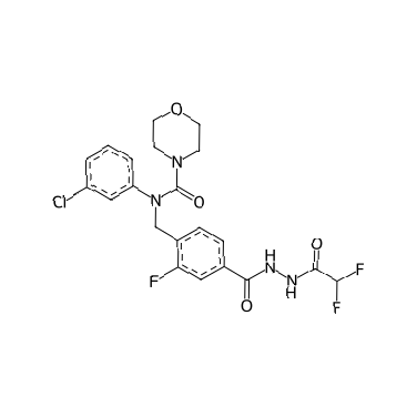 O=C(NNC(=O)C(F)F)c1ccc(CN(C(=O)N2CCOCC2)c2cccc(Cl)c2)c(F)c1